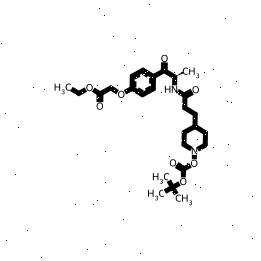 CCOC(=O)COc1ccc(C(=O)[C@H](C)NC(=O)CCC2CCN(OC(=O)OC(C)(C)C)CC2)cc1